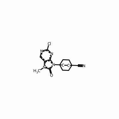 Cn1c(=O)n(C23CCC(C#N)(CC2)CC3)c2nc(Cl)ncc21